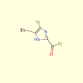 CCc1[nH]c(C(=O)Cl)nc1Cl